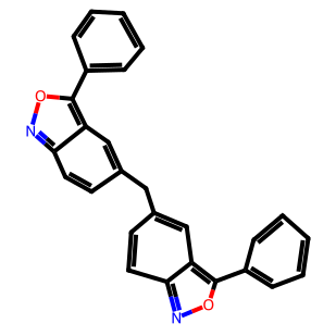 c1ccc(-c2onc3ccc(Cc4ccc5noc(-c6ccccc6)c5c4)cc23)cc1